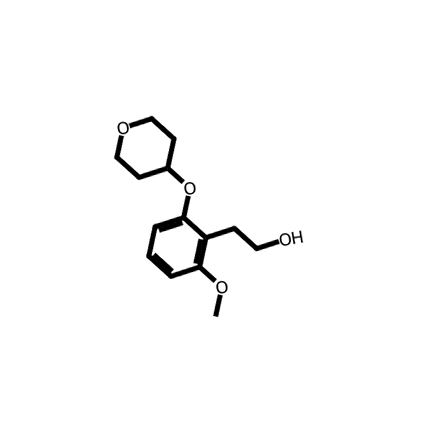 COc1cccc(OC2CCOCC2)c1CCO